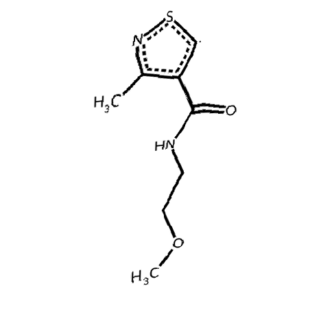 COCCNC(=O)c1[c]snc1C